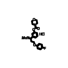 CNC(CCOc1ccc(F)cc1)c1cccc(OC(=O)N2CCOCC2)c1.Cl